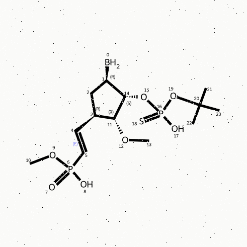 B[C@@H]1C[C@H](/C=C/P(=O)(O)OC)[C@@H](OC)[C@H]1OP(O)(=S)OC(C)(C)C